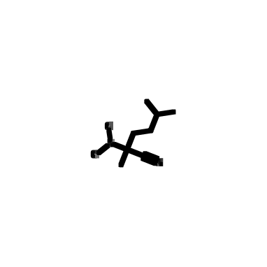 CC(C)CCC(C)(C#N)N(Cl)Cl